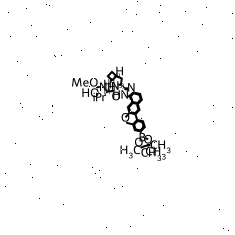 COC(O)N[C@H](C(=O)N1[C@H](c2nc3ccc4cc5c(cc4c3[nH]2)OCc2cc(B3OC(C)(C)C(C)(C)O3)ccc2-5)C[C@@H]2CC[C@@H]21)C(C)C